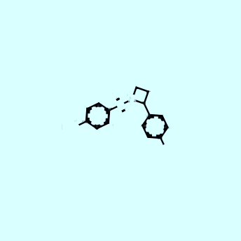 Cc1ccc(C2CCN2S(=O)(=O)c2ccc(C)cc2)cc1